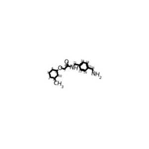 CC1CCCC(OCC(=O)NCc2ccc(CN)cc2)C1